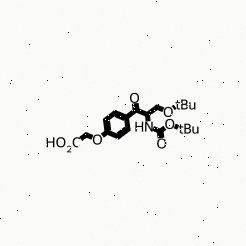 CC(C)(C)OCC(NC(=O)OC(C)(C)C)C(=O)c1ccc(OCC(=O)O)cc1